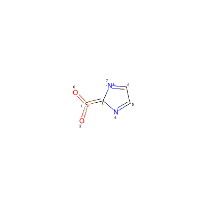 O=S(=O)=C1N=CC=[N+]1